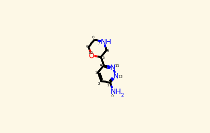 Nc1ccc(C2CNCCO2)nn1